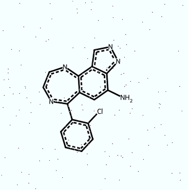 Nc1cc2c(-c3ccccc3Cl)nccnc2c2cnnc12